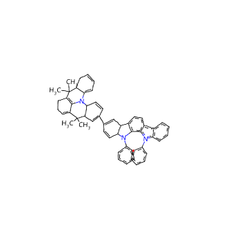 CC1(C)C2=C3C(=CCC2)C(C)(C)C2C=C(C4=CC5c6ccc7c8ccccc8n(-c8ccccc8)c7c6N(c6ccccc6)C5C=C4)C=CC2N3C2=CC=CCC21